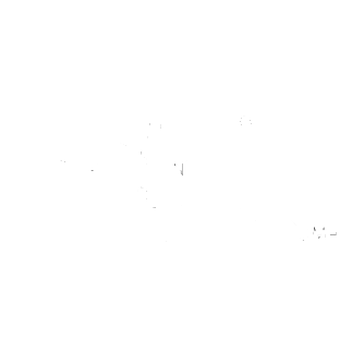 COc1ccc2c(c1)CC1(CC1)N(S(=O)(=O)c1ccc(C)cc1)CC2=O